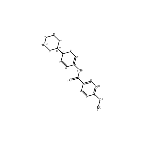 CCOc1ccc(C(=O)NC2=CCC([C@@H]3CCCNC3)C=C2)cn1